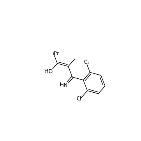 C/C(C(=N)c1c(Cl)cccc1Cl)=C(/O)C(C)C